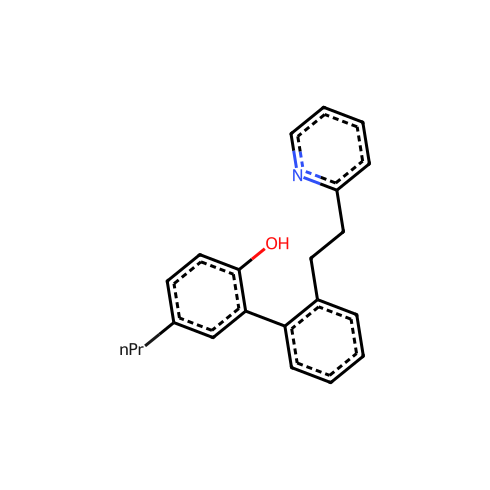 CCCc1ccc(O)c(-c2ccccc2CCc2ccccn2)c1